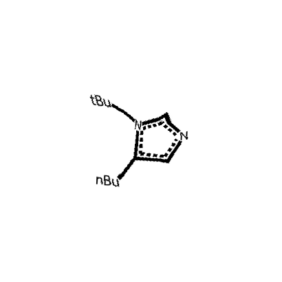 CCCCc1cncn1C(C)(C)C